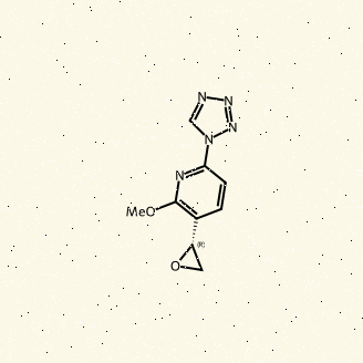 COc1nc(-n2cnnn2)ccc1[C@@H]1CO1